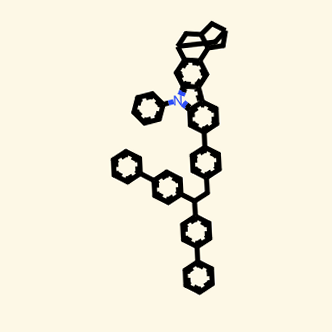 c1ccc(-c2ccc(C(Cc3ccc(-c4ccc5c6cc7c(cc6n(-c6ccccc6)c5c4)C4CC5CC(C4)C7C5)cc3)c3ccc(-c4ccccc4)cc3)cc2)cc1